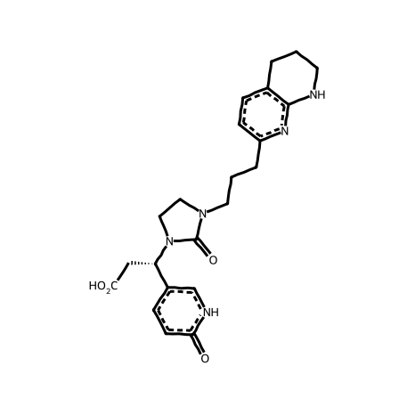 O=C(O)C[C@@H](c1ccc(=O)[nH]c1)N1CCN(CCCc2ccc3c(n2)NCCC3)C1=O